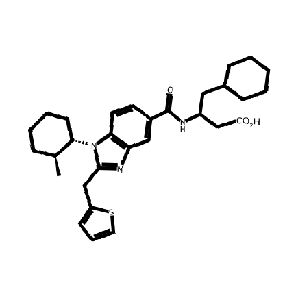 C[C@H]1CCCC[C@@H]1n1c(Cc2cccs2)nc2cc(C(=O)NC(CC(=O)O)CC3CCCCC3)ccc21